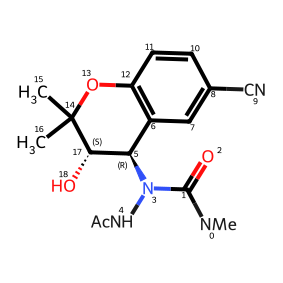 CNC(=O)N(NC(C)=O)[C@@H]1c2cc(C#N)ccc2OC(C)(C)[C@H]1O